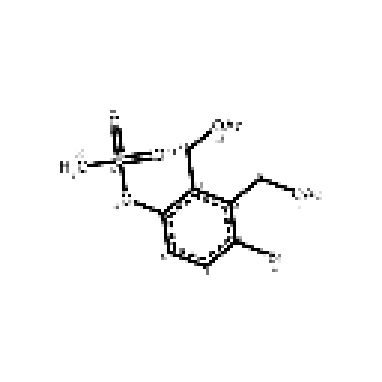 CC(=O)OCc1c(Br)ccc(OS(C)(=O)=O)c1COC(C)=O